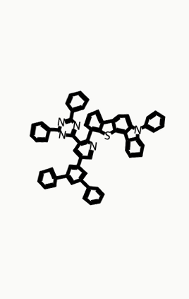 c1ccc(-c2cc(-c3ccccc3)cc(-c3cnc(-c4cccc5c4sc4c5ccc5c4c4ccccc4n5-c4ccccc4)c(-c4nc(-c5ccccc5)nc(-c5ccccc5)n4)c3)c2)cc1